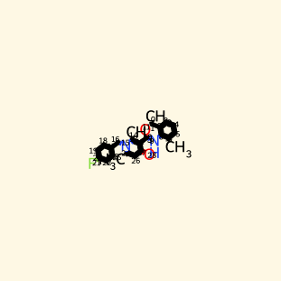 CCc1cccc(C)c1NC(=O)c1c(C)n(Cc2ccc(F)cc2)c(C)cc1=O